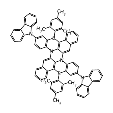 Cc1cc(C)c(B2c3cc(-n4c5ccccc5c5ccccc54)ccc3N3c4cc5ccccc5c5c4N(c4ccc(-n6c7ccccc7c7ccccc76)cc4B5c4c(C)cc(C)cc4C)c4cc5ccccc5c2c43)c(C)c1